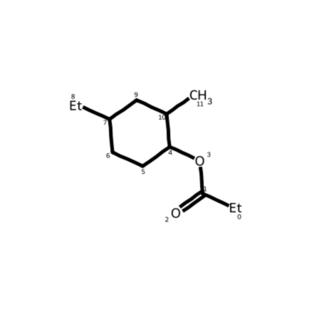 CCC(=O)OC1CCC(CC)CC1C